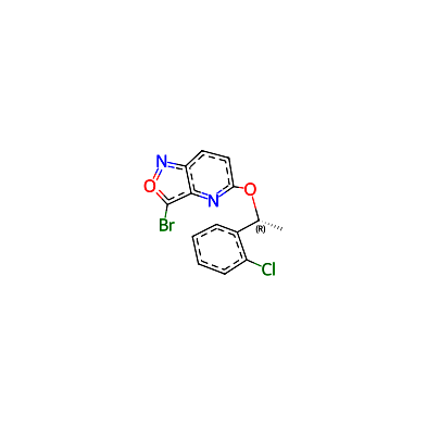 C[C@@H](Oc1ccc2noc(Br)c2n1)c1ccccc1Cl